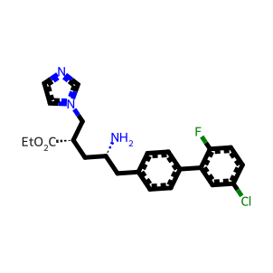 CCOC(=O)[C@@H](C[C@H](N)Cc1ccc(-c2cc(Cl)ccc2F)cc1)Cn1ccnc1